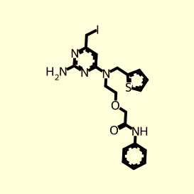 Nc1nc(CI)cc(N(CCOCC(=O)Nc2ccccc2)Cc2cccs2)n1